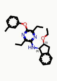 CCO[C@H]1Cc2ccccc2[C@H]1Nc1nc(CC)c(Oc2cccc(C)c2)nc1CC